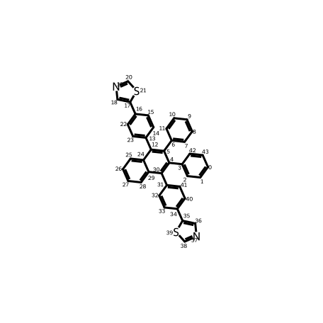 c1ccc(-c2c(-c3ccccc3)c(-c3ccc(-c4cncs4)cc3)c3ccccc3c2-c2ccc(-c3cncs3)cc2)cc1